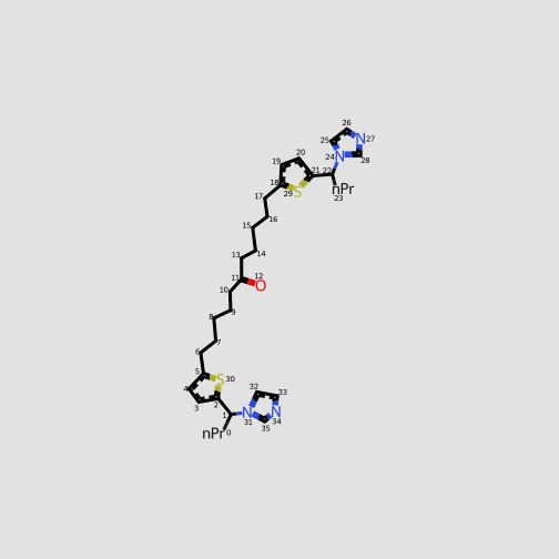 CCCC(c1ccc(CCCCCC(=O)CCCCCc2ccc(C(CCC)n3ccnc3)s2)s1)n1ccnc1